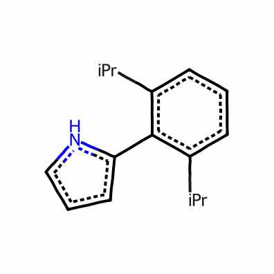 CC(C)c1cccc(C(C)C)c1-c1ccc[nH]1